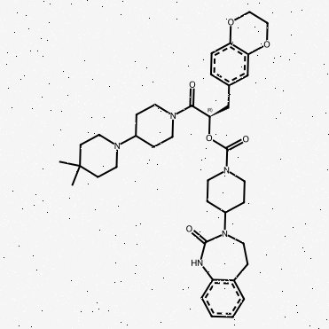 CC1(C)CCN(C2CCN(C(=O)[C@@H](Cc3ccc4c(c3)OCCO4)OC(=O)N3CCC(N4CCc5ccccc5NC4=O)CC3)CC2)CC1